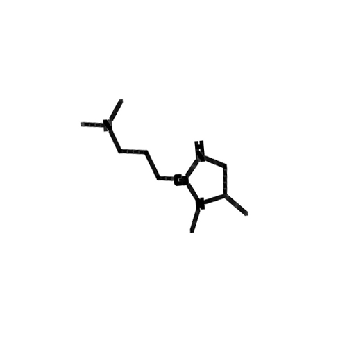 CC1C[NH][Ga]([CH2]CCN(C)C)[N]1C